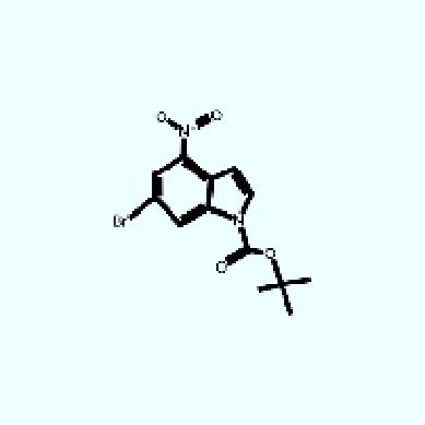 CC(C)(C)OC(=O)n1ccc2c([N+](=O)[O-])cc(Br)cc21